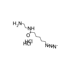 Cl.Cl.[N-]=[N+]=NCCCCCC(=O)NCCN